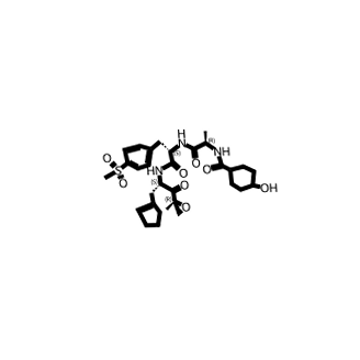 C[C@@H](NC(=O)C1CCC(O)CC1)C(=O)N[C@@H](Cc1ccc(S(C)(=O)=O)cc1)C(=O)N[C@@H](CC1=CCCC1)C(=O)[C@@]1(C)CO1